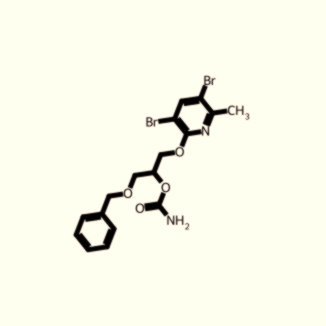 Cc1nc(OCC(COCc2ccccc2)OC(N)=O)c(Br)cc1Br